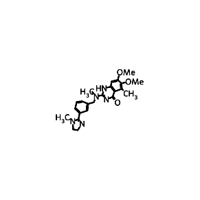 COc1cc2[nH]c(N(C)Cc3cccc(C4=NCCN4C)c3)nc(=O)c2c(C)c1OC